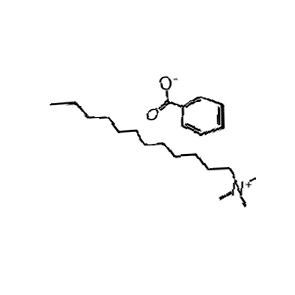 CCCCCCCCCCCC[N+](C)(C)C.O=C([O-])c1ccccc1